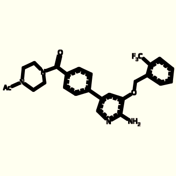 CC(=O)N1CCN(C(=O)c2ccc(-c3cnc(N)c(OCc4ccccc4C(F)(F)F)c3)cc2)CC1